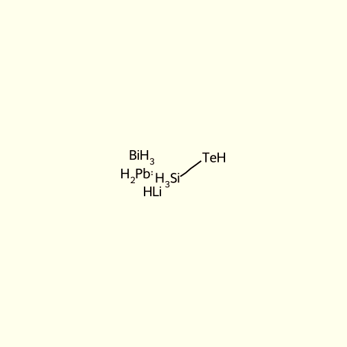 [BiH3].[LiH].[PbH2].[SiH3][TeH]